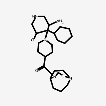 NC1CNCC(Cl)C1(C1CCCCC1)N1CCC(C(=O)N2CCN3CCCC2CC3)CC1